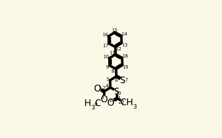 COC(=O)C(CC(=S)c1ccc(-c2ccccc2)cc1)SC(C)=O